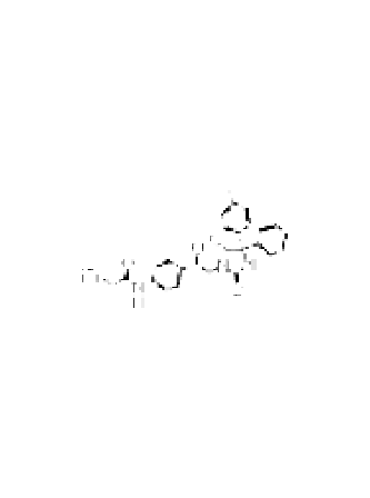 Cc1ccc(C2(c3ccccc3)NC(=O)N(CC(=O)c3ccc(NC(=O)CC(C)C)cc3)C2=O)cc1